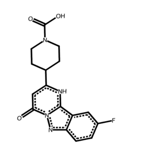 O=C(O)N1CCC(c2cc(=O)n3nc4ccc(F)cc4c3[nH]2)CC1